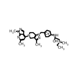 CCN(C)CC(O)NC12CCC(Cn3nc(C)c4c3CCN(c3cc(C)nc5c3cnn5C)C4)(CC1)CC2